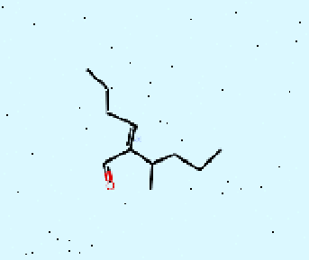 CCC/C=C(\C=O)C(C)CCC